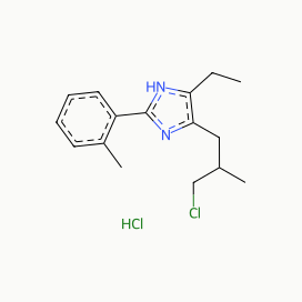 CCc1[nH]c(-c2ccccc2C)nc1CC(C)CCl.Cl